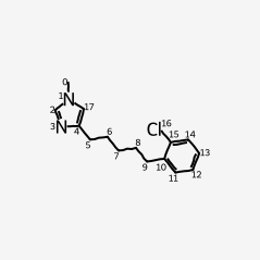 Cn1cnc(CCCCCc2ccccc2Cl)c1